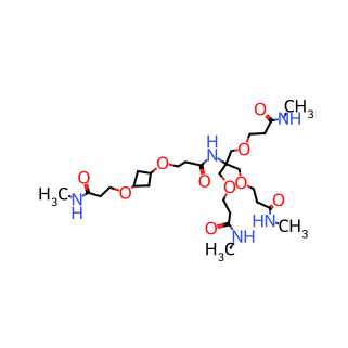 CNC(=O)CCOCC(COCCC(=O)NC)(COCCC(=O)NC)NC(=O)CCOC1CC(OCCC(=O)NC)C1